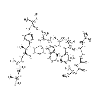 CC(C)C[C@H](N)C(=O)Oc1ccc(C[C@H](N)C(=O)OC[C@@H](N)C(=O)O)cc1.N=C(N)NCCC[C@@H](N)C(=O)OC(=O)C[C@H](N)C(=O)O.N[C@@H](CC1CCCCC1)C(=O)O.N[C@@H](CO)C(=O)O.N[C@@H](Cc1c[nH]c2ccccc12)C(=O)O.N[C@@H](Cc1ccccc1)C(=O)O